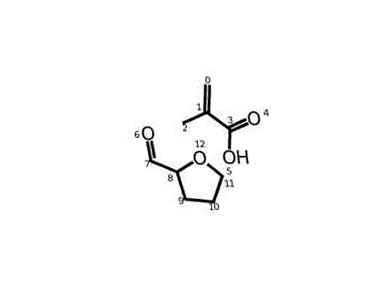 C=C(C)C(=O)O.O=CC1CCCO1